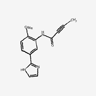 CC#CC(=O)Nc1cc(-c2ncc[nH]2)ccc1OC